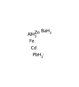 [AlH3].[BaH2].[Cd].[Fe].[PbH2].[Zn]